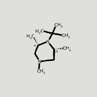 C[C@@H]1CN(C)C[C@H](C)N1C(C)(C)C